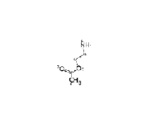 CC(=O)OCC[NH]